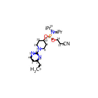 C=Cc1ccnc(N2CCC(OP(OCCC#N)N(C(C)C)C(C)C)CC2)n1